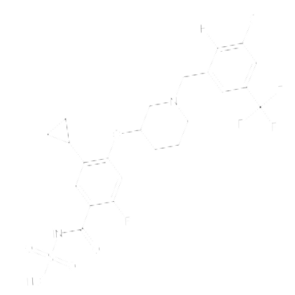 CS(=O)(=O)NC(=O)c1cc(C2CC2)c(OC2CCCN(Cc3cc(C(F)(F)F)cc(Cl)c3F)C2)cc1F